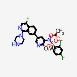 COc1ncc(-c2ccc3c(F)cnc(N4CCNCC4)c3c2)cc1N(OC(=O)C(F)(F)F)S(=O)(=O)c1ccc(F)cc1F